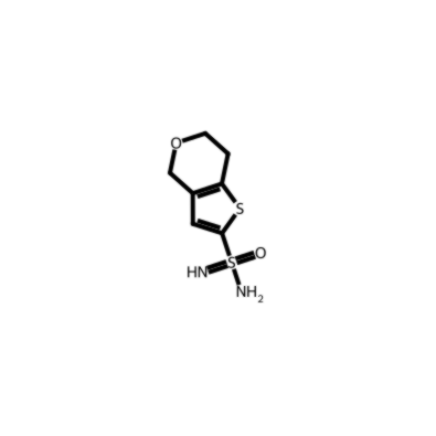 N=S(N)(=O)c1cc2c(s1)CCOC2